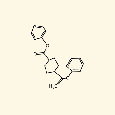 C=C(Oc1ccccc1)C1CCC(C(=O)Oc2ccccc2)CC1